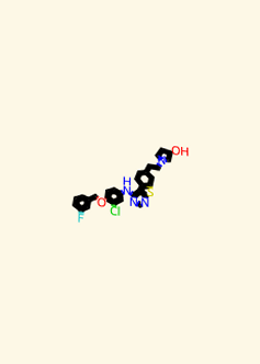 O[C@H]1CCN(CCC2CCc3c(sc4ncnc(Nc5ccc(OCc6cccc(F)c6)c(Cl)c5)c34)C2)C1